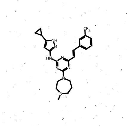 CN1CCCN(c2nc(/C=C/c3cccc(C(F)(F)F)c3)nc(Nc3cc(C4CC4)[nH]n3)n2)CC1